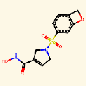 O=C(NO)C1=CCN(S(=O)(=O)c2ccc3c(c2)OC3)C1